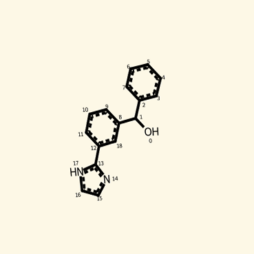 OC(c1ccccc1)c1cccc(-c2ncc[nH]2)c1